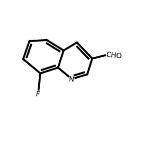 O=Cc1cnc2c(F)cccc2c1